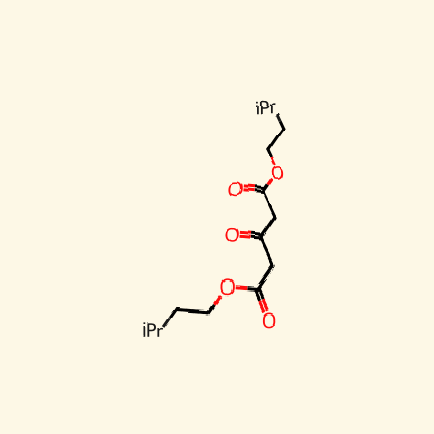 CC(C)CCOC(=O)CC(=O)CC(=O)OCCC(C)C